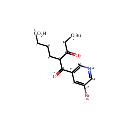 CC(C)COCC(=O)C(CCCC(=O)O)C(=O)c1cncc(Br)c1